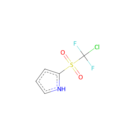 O=S(=O)(c1ccc[nH]1)C(F)(F)Cl